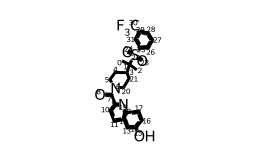 CC(C)(C1CCN(C(=O)c2ccc3cc(O)ccc3n2)CC1)S(=O)(=O)c1cccc(C(F)(F)F)c1